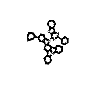 c1ccc(-c2ccc3c(c2)c2cc4c5ccccc5n5c6ccccc6c(c2n3-c2nc(-c3ccccc3)nc3c2oc2ccccc23)c45)cc1